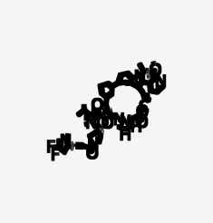 CCn1c(-c2cccnc2[C@H](C)OC)c2c3cc(ccc31)-c1cccc(c1)C[C@H](NC(=O)C(C(C)C)N(C)C(=O)[C@H]1CCN(C(=O)C#C[C@@H]3CC(F)(F)CN3C)C1)C(=O)N1CCC[C@H](N1)C(=O)OCC(C)(C)C2